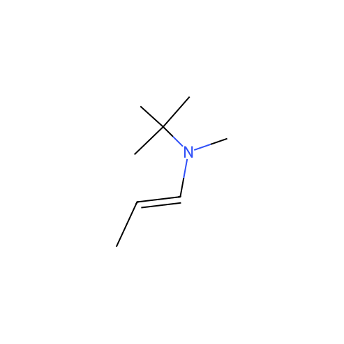 CC=CN(C)C(C)(C)C